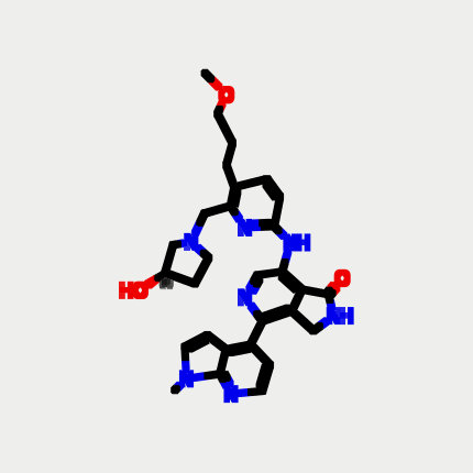 COCCCc1ccc(Nc2cnc(-c3ccnc4c3ccn4C)c3c2C(=O)NC3)nc1CN1CC[C@@H](O)C1